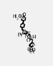 CCS(=O)(=O)c1ccc(CC(=O)Nc2nc3c(s2)CN(Cc2ccc(-c4ccc(=O)n(C)c4)cc2)[C@H]3C(C)C)nc1